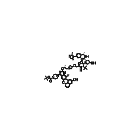 Cc1ncsc1-c1ccc([C@H](C)NC(=O)[C@@H]2C[C@@H](O)CN2C(=O)[C@@H](NC(=O)COC2CN(C[C@@H](C)Oc3nc(N4CCN(C(=O)OC(C)(C)C)CC4)c4cc(Cl)c(-c5cc(O)cc6ccccc56)c(F)c4n3)C2)C(C)(C)C)cc1